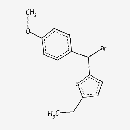 CCc1ccc(C(Br)c2ccc(OC)cc2)s1